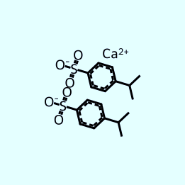 CC(C)c1ccc(S(=O)(=O)[O-])cc1.CC(C)c1ccc(S(=O)(=O)[O-])cc1.[Ca+2]